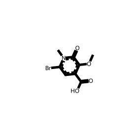 COc1c(C(=O)O)cc(Br)n(C)c1=O